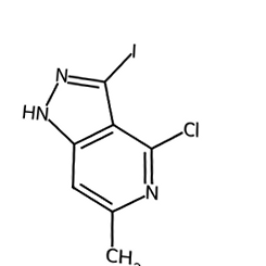 Cc1cc2[nH]nc(I)c2c(Cl)n1